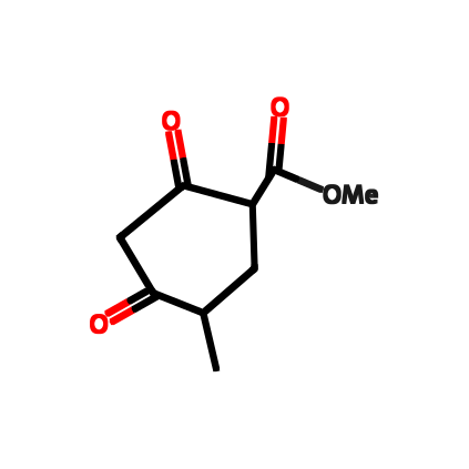 COC(=O)C1CC(C)C(=O)CC1=O